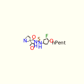 CCCCCOc1ccc(NC(=S)NC(=O)C2(c3ccoc3)C=CC=NC2)cc1F